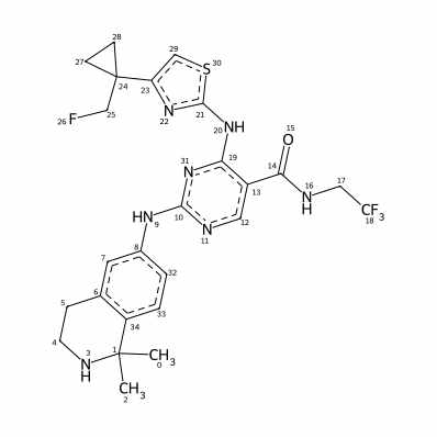 CC1(C)NCCc2cc(Nc3ncc(C(=O)NCC(F)(F)F)c(Nc4nc(C5(CF)CC5)cs4)n3)ccc21